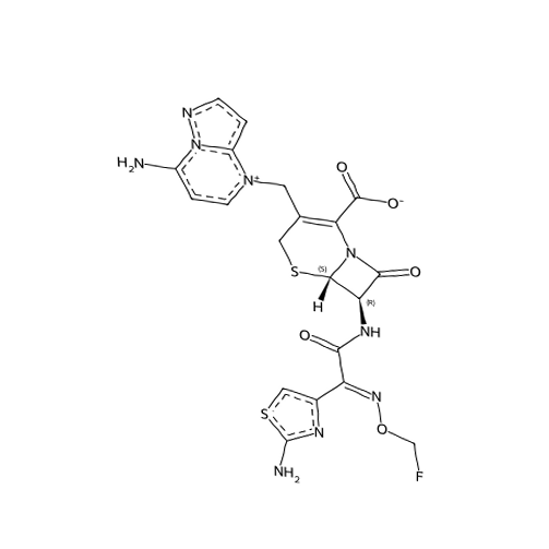 Nc1nc(C(=NOCF)C(=O)N[C@@H]2C(=O)N3C(C(=O)[O-])=C(C[n+]4ccc(N)n5nccc54)CS[C@@H]23)cs1